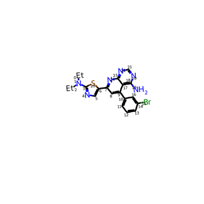 CCN(CC)c1ncc(-c2cc(-c3cccc(Br)c3)c3c(N)ncnc3n2)s1